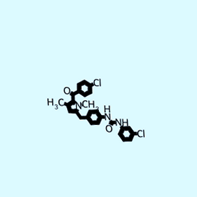 Cc1cc(Cc2ccc(NC(=O)Nc3cccc(Cl)c3)cc2)n(C)c1C(=O)c1ccc(Cl)cc1